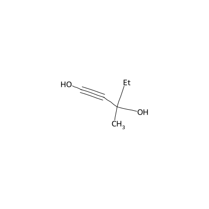 CCC(C)(O)C#CO